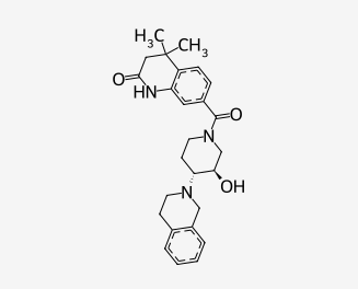 CC1(C)CC(=O)Nc2cc(C(=O)N3CC[C@@H](N4CCc5ccccc5C4)[C@H](O)C3)ccc21